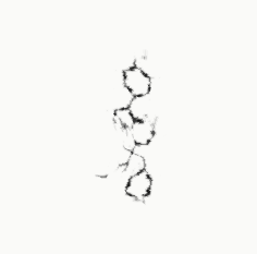 CCOC(=O)C(C)(Cc1ccncc1)c1ccnc2c(-c3ccc(Cl)cc3)cnn12